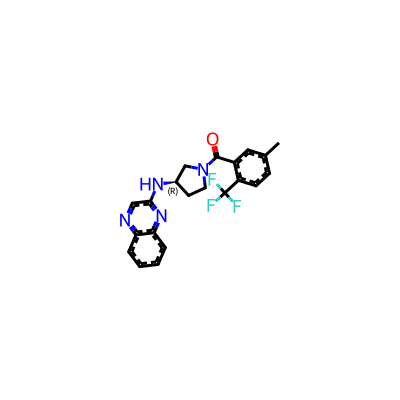 Cc1ccc(C(F)(F)F)c(C(=O)N2CC[C@@H](Nc3cnc4ccccc4n3)C2)c1